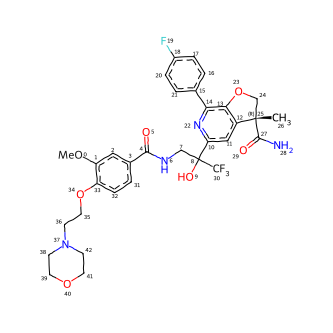 COc1cc(C(=O)NCC(O)(c2cc3c(c(-c4ccc(F)cc4)n2)OC[C@]3(C)C(N)=O)C(F)(F)F)ccc1OCCN1CCOCC1